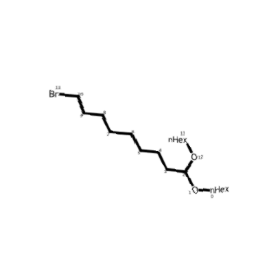 CCCCCCOC(CCCCCCCCBr)OCCCCCC